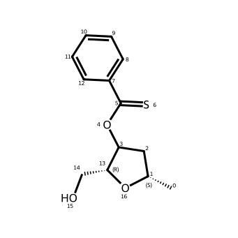 C[C@H]1CC(OC(=S)c2ccccc2)[C@@H](CO)O1